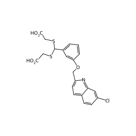 O=C(O)CSC(SCC(=O)O)c1cccc(OCc2ccc3ccc(Cl)cc3n2)c1